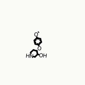 COc1ccc(OC2CCNCC2O)cc1